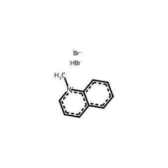 Br.C[n+]1cccc2ccccc21.[Br-]